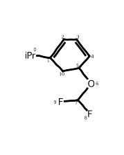 CC(C)C1=CC=CC(OC(F)F)C1